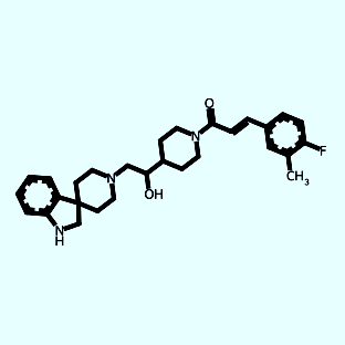 Cc1cc(/C=C/C(=O)N2CCC(C(O)CN3CCC4(CC3)CNc3ccccc34)CC2)ccc1F